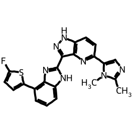 Cc1ncc(-c2ccc3[nH]nc(-c4nc5c(-c6ccc(F)s6)cccc5[nH]4)c3n2)n1C